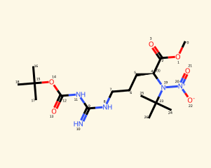 COC(=O)[C@H](CCCNC(=N)NC(=O)OC(C)(C)C)N([N+](=O)[O-])C(C)(C)C